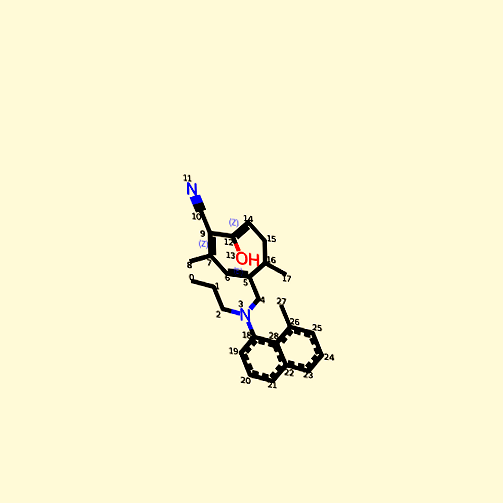 CCCN(C/C1=C/C(C)=C(C#N)\C(O)=C\CC1C)c1cccc2cccc(C)c12